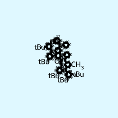 Cc1cc2c3c(c1)N1c4ccccc4N4c5cc(N(c6ccccc6)c6ccccc6)cc6c5B(c5cc(C(C)(C)C)ccc5N6c5cc(C(C)(C)C)cc(C(C)(C)C)c5)c5oc(c1c54)B3c1ccc(C(C)(C)C)cc1N2c1cc(C(C)(C)C)cc(C(C)(C)C)c1